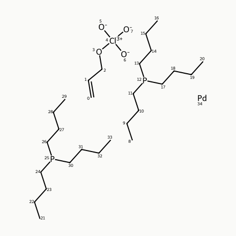 C=CCO[Cl+3]([O-])([O-])[O-].CCCCP(CCCC)CCCC.CCCCP(CCCC)CCCC.[Pd]